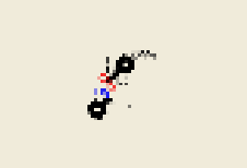 CCC(C)(C(=O)ONC(C)c1ccccc1)c1ccc(OC)cc1